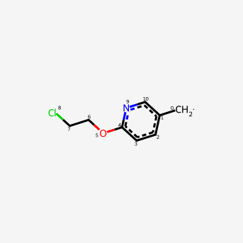 [CH2]c1ccc(OCCCl)nc1